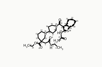 CCNC(=O)CC1(C(=O)OCC)CCCN(C2CCN(C(=O)c3c(NC(N)=O)sc4ccccc34)CC2)C1